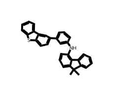 CC1(C)c2ccccc2-c2c(Nc3cccc(-c4ccc5sc6ccccc6c5c4)c3)cccc21